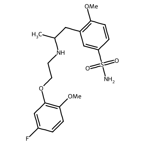 COc1ccc(S(N)(=O)=O)cc1CC(C)NCCOc1cc(F)ccc1OC